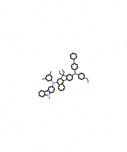 CCc1ccc(C(c2ccc(-c3ccccc3)cc2)c2ccc3c(c2)C(CC)(CC)c2cc(N(c4cc(C)cc(C)c4)c4ccc5c(c4)c4ccccc4n5C)c4ccccc4c2-3)cc1